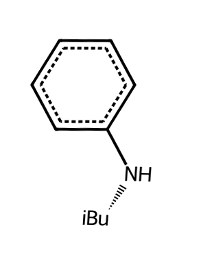 CC[C@@H](C)Nc1ccccc1